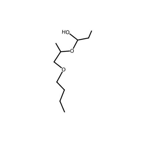 CCCCOCC(C)OC(O)CC